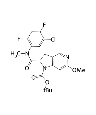 COc1cc2c(cn1)CC(C(=O)N(C)c1cc(Cl)c(F)cc1F)N2C(=O)OC(C)(C)C